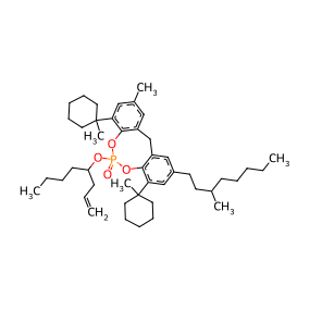 C=CCC(CCCC)OP1(=O)Oc2c(cc(C)cc2C2(C)CCCCC2)Cc2cc(CCC(C)CCCCC)cc(C3(C)CCCCC3)c2O1